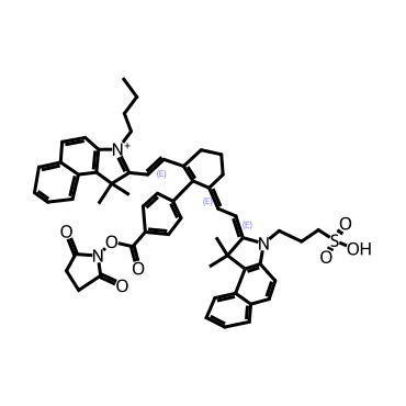 CCCC[N+]1=C(/C=C/C2=C(c3ccc(C(=O)ON4C(=O)CCC4=O)cc3)C(=C/C=C3/N(CCCS(=O)(=O)O)c4ccc5ccccc5c4C3(C)C)/CCC2)C(C)(C)c2c1ccc1ccccc21